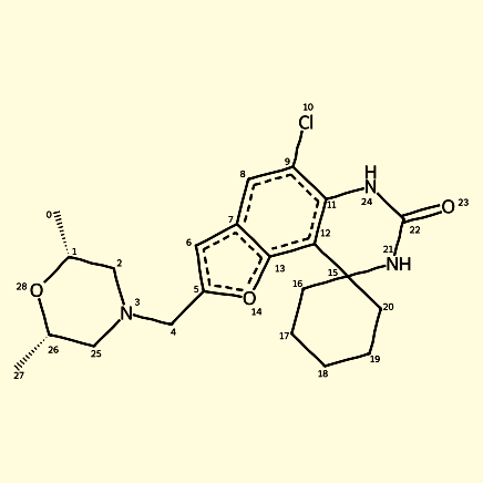 C[C@@H]1CN(Cc2cc3cc(Cl)c4c(c3o2)C2(CCCCC2)NC(=O)N4)C[C@H](C)O1